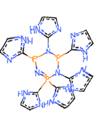 c1c[nH]c(N2P(c3ncc[nH]3)N=P(c3ncc[nH]3)(c3ncc[nH]3)N(c3ncc[nH]3)P2c2ncc[nH]2)n1